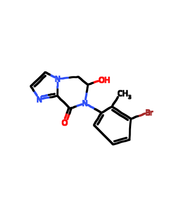 Cc1c(Br)cccc1N1C(=O)c2nccn2CC1O